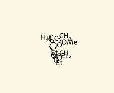 C=C(C)C(=O)OC.C=C[Si](OCC)(OCC)OCC.C=Cc1ccccc1